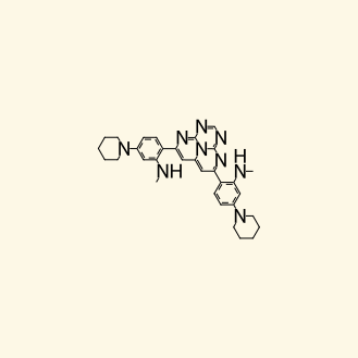 CNc1cc(N2CCCCC2)ccc1C1=CC2=CC(c3ccc(N4CCCCC4)cc3NC)=NC3=NC=NC(=N1)N23